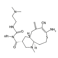 C=C1C[C@H]2C[C@@H](C(=O)N(CCC)C(=O)NCCN(C)C)CN(C)[C@@H]2CCS/C(N)=C\1C#N